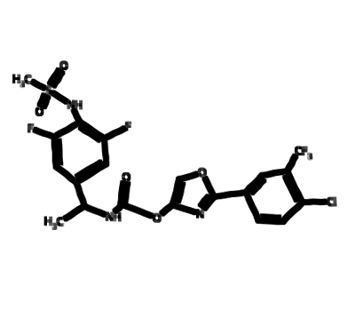 CC(NC(=O)Oc1coc(-c2ccc(Cl)c(C(F)(F)F)c2)n1)c1cc(F)c(NS(C)(=O)=O)c(F)c1